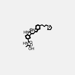 CC(NC(=O)c1ccc2c(c1)C(=Cc1cc3cc(CCCN4CCCC4)ccc3[nH]1)C(=O)N2)C(=O)O